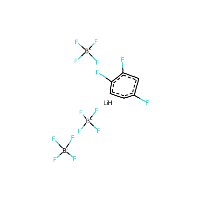 F[B-](F)(F)F.F[B-](F)(F)F.F[B-](F)(F)F.Fc1ccc(F)c(F)c1.[LiH]